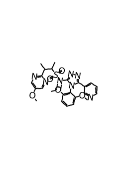 COc1cnc(C(C)C(C)S(=O)(=O)Nc2nnc(-c3cccnc3)n2-c2c(OC)cccc2OC)nc1